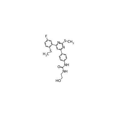 CSc1nc(-c2ccc(NC(=O)NCCO)cc2)cc(-c2cc(F)ccc2SC)n1